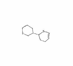 [C]1SCCCC1C1CCC=CS1